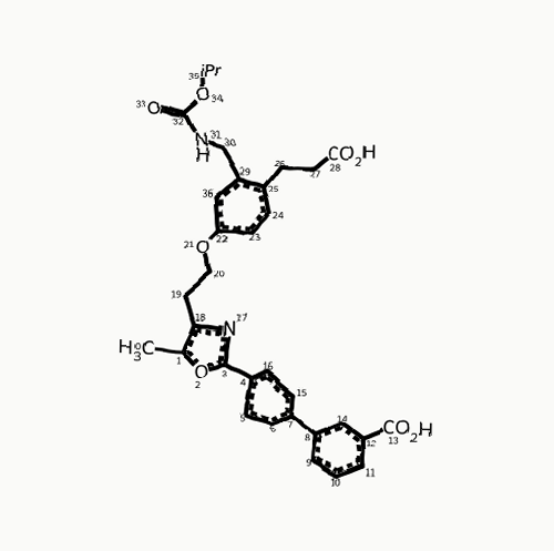 Cc1oc(-c2ccc(-c3cccc(C(=O)O)c3)cc2)nc1CCOc1ccc(CCC(=O)O)c(CNC(=O)OC(C)C)c1